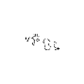 C=C(C)C(=O)OCc1cccc2c(C(=O)O)cccc12